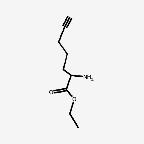 C#CCCCC(N)C(=O)OCC